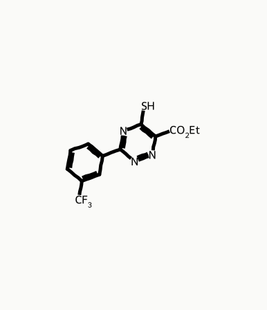 CCOC(=O)c1nnc(-c2cccc(C(F)(F)F)c2)nc1S